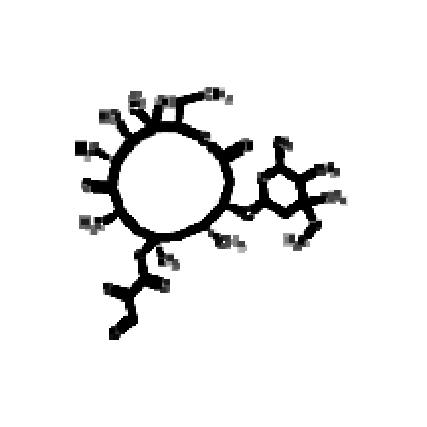 CC[C@H]1OC(=O)C[C@@H](OC2CC(C)(OC)C(C)C(O)O2)[C@H](C)C[C@@](C)(OC(=O)C(=O)C=O)C[C@@H](C)C(=O)[C@H](C)[C@@H](O)[C@]1(C)O